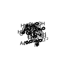 CC(=O)N1CCN(c2ccc(OC[C@H]3CO[C@](Cn4ccnc4)(c4ccc(Cl)cc4Cl)O3)cc2)CC1.CCNC(=O)[C@@H]1CCCN1C(=O)[C@H](CCCNC(=N)N)NC(=O)[C@H](CC(C)C)NC(=O)[C@@H](Cc1cn(Cc2ccccc2)cn1)NC(=O)[C@H](Cc1ccc(O)cc1)NC(=O)[C@H](CO)NC(=O)[C@H](Cc1c[nH]c2ccccc12)NC(=O)[C@H](Cc1cnc[nH]1)NC(=O)[C@@H]1CCC(=O)N1